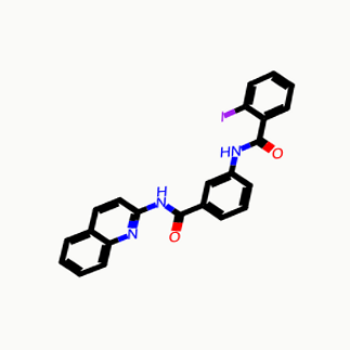 O=C(Nc1ccc2ccccc2n1)c1cccc(NC(=O)c2ccccc2I)c1